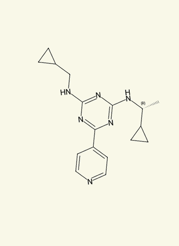 C[C@@H](Nc1nc(NCC2CC2)nc(-c2ccncc2)n1)C1CC1